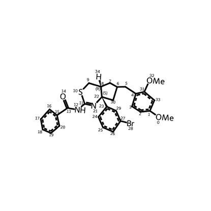 COc1ccc(CC2C[C@H]3CSC(NC(=O)c4ccccc4)=N[C@@]3(c3cccc(Br)c3)C2)c(OC)c1